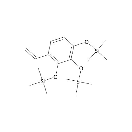 C=Cc1ccc(O[Si](C)(C)C)c(O[Si](C)(C)C)c1O[Si](C)(C)C